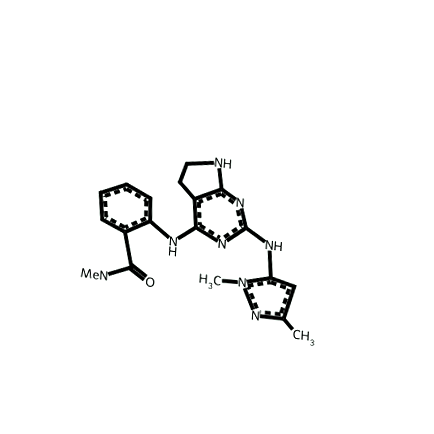 CNC(=O)c1ccccc1Nc1nc(Nc2cc(C)nn2C)nc2c1CCN2